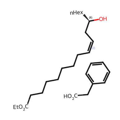 CCCCCC[C@@H](O)C/C=C\CCCCCCCC(=O)OCC.O=C(O)Cc1ccccc1